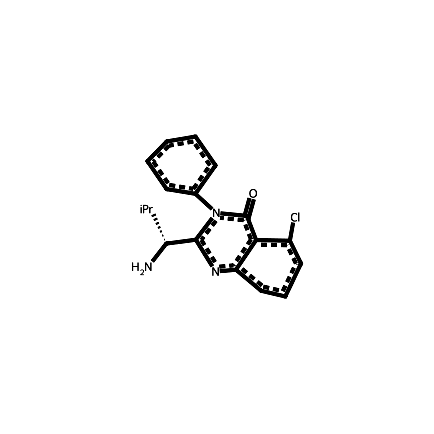 CC(C)[C@@H](N)c1nc2cccc(Cl)c2c(=O)n1-c1ccccc1